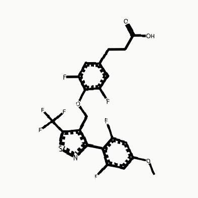 COc1cc(F)c(-c2nsc(C(F)(F)F)c2COc2c(F)cc(CCC(=O)O)cc2F)c(F)c1